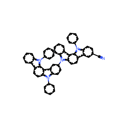 N#Cc1ccc2c(c1)c1ccc3c(c4ccccc4n3-c3ccc4c(c3)c3c(ccc5c6ccccc6n(-c6ccccc6)c53)n4-c3ccccc3)c1n2-c1ccccc1